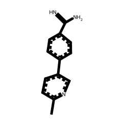 Cc1ccc(-c2ccc(C(=N)N)cc2)cn1